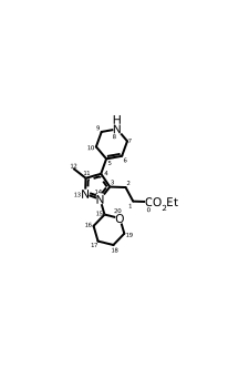 CCOC(=O)CCc1c(C2=CCNCC2)c(C)nn1C1CCCCO1